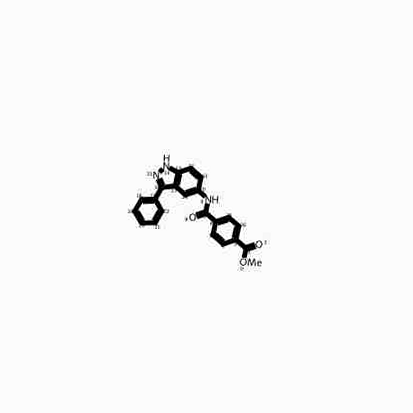 COC(=O)c1ccc(C(=O)Nc2ccc3[nH]nc(-c4ccccc4)c3c2)cc1